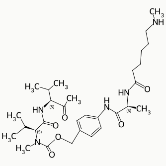 CNCCCCCC(=O)N[C@@H](C)C(=O)Nc1ccc(COC(=O)N(C)[C@H](C(=O)N[C@H](C(C)=O)C(C)C)C(C)C)cc1